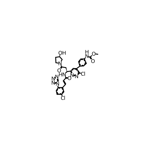 COC(=O)Nc1ccc(-c2cc([C@H](CC(=O)N3CC[C@@H](O)C3)NC(=O)C=Cc3cc(Cl)ccc3-n3cnnn3)nnc2Cl)cc1